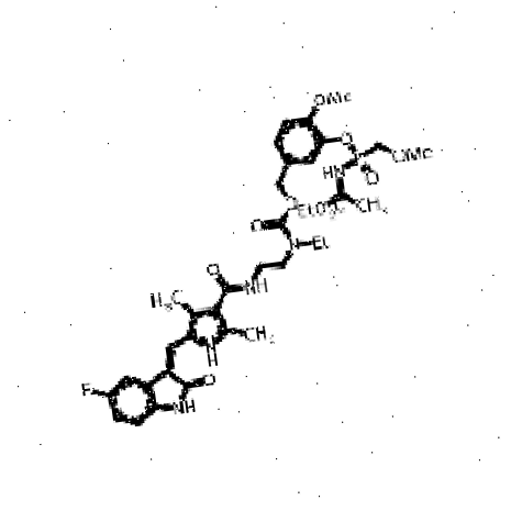 CCOC(=O)C(C)NP(=O)(COC)Oc1cc(COC(=O)N(CC)CCNC(=O)c2c(C)[nH]c(/C=C3\C(=O)Nc4ccc(F)cc43)c2C)ccc1OC